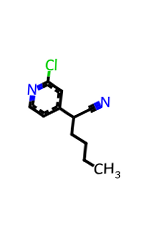 CCCCC(C#N)c1ccnc(Cl)c1